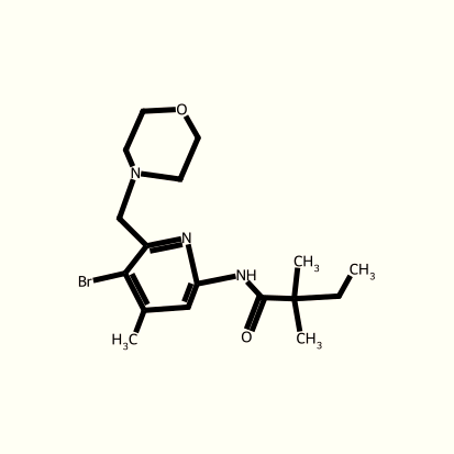 CCC(C)(C)C(=O)Nc1cc(C)c(Br)c(CN2CCOCC2)n1